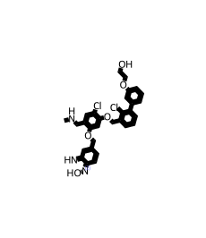 CNCc1cc(Cl)c(OCc2cccc(-c3cccc(OCCO)c3)c2Cl)cc1OCC1=CC(=N)/C(=N\O)C=C1